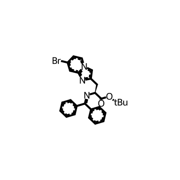 CC(C)(C)OC(=O)[C@H](Cc1cn2ccc(Br)cc2n1)N=C(c1ccccc1)c1ccccc1